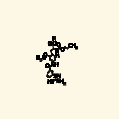 CCCOC(=O)N[C@@H](Cc1ccc(NC(=O)c2cccc(NC(=N)N)c2)cc1OC)C(=O)O